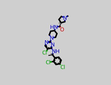 C[C@@H](Nc1nc(N2CCC(NC(=O)[C@H]3CCN(C)C3)CC2)ncc1Cl)c1ccc(Cl)cc1Cl